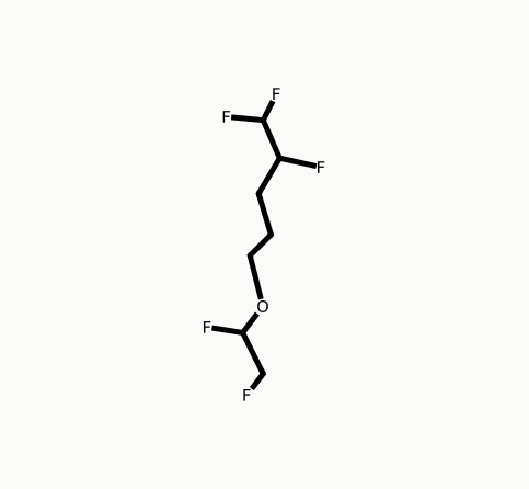 FCC(F)OCCCC(F)C(F)F